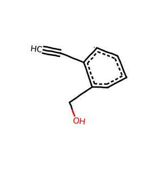 C#Cc1[c]cccc1CO